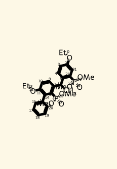 CCOc1ccc(C(C)c2ccc(OCC)c(-c3ccccc3)c2P(=O)(OC)OC)c(P(=O)(OC)OC)c1